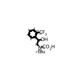 CC(C)(C)N(CC(O)c1ccccc1C(F)(F)F)C(=O)O